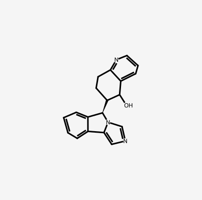 OC1c2cccnc2CCC1[C@@H]1c2ccccc2-c2cncn21